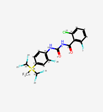 O=C(NC(=O)c1c(F)cccc1Cl)Nc1ccc(S(C(F)F)(C(F)F)C(F)(F)F)cc1F